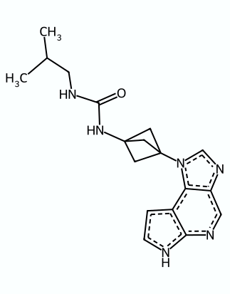 CC(C)CNC(=O)NC12CC(n3cnc4cnc5[nH]ccc5c43)(C1)C2